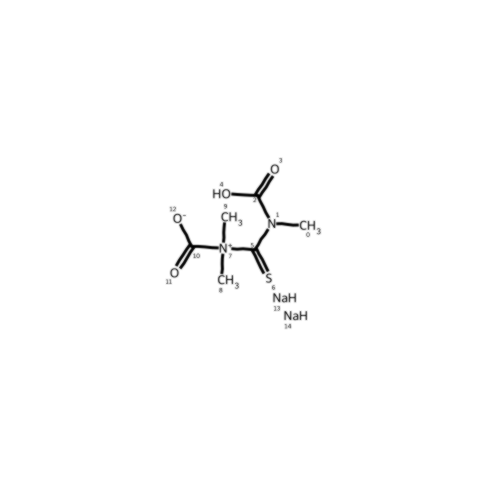 CN(C(=O)O)C(=S)[N+](C)(C)C(=O)[O-].[NaH].[NaH]